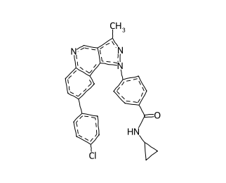 Cc1nn(-c2ccc(C(=O)NC3CC3)cc2)c2c1cnc1ccc(-c3ccc(Cl)cc3)cc12